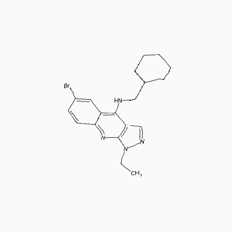 CCn1ncc2c(NCC3CCCCC3)c3cc(Br)ccc3nc21